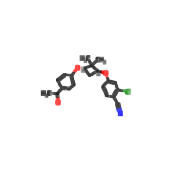 CC(=O)c1ccc(O[C@H]2C[C@H](Oc3ccc(C#N)c(Cl)c3)C2(C)C)cc1